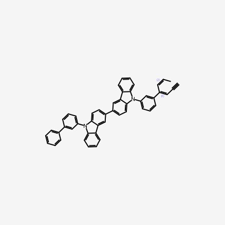 C#C/C=C(\C=C/C)c1cccc(-n2c3ccccc3c3cc(-c4ccc5c(c4)c4ccccc4n5-c4cccc(-c5ccccc5)c4)ccc32)c1